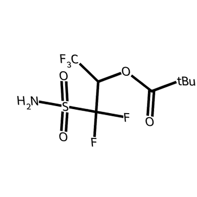 CC(C)(C)C(=O)OC(C(F)(F)F)C(F)(F)S(N)(=O)=O